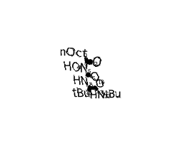 CCCCCCCCC(=O)N(O)C(=O)NC(C(=O)NC(C)(C)C)C(C)(C)C